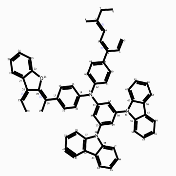 C=C/C(=C\C=C(/C)CC)c1ccc(N(c2ccc(/C(C)=c3\oc4ccccc4\c3=C\C)cc2)c2cc(-n3c4ccc#cc4c4ccccc43)cc(-n3c4ccccc4c4ccccc43)c2)cc1